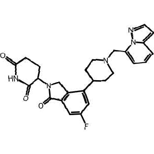 O=C1CCC(N2Cc3c(cc(F)cc3C3CCN(Cc4cccc5ccnn45)CC3)C2=O)C(=O)N1